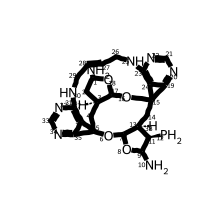 NC1C[C@@H]2CC34OC5OC(N)[C@H](P)[C@@H]5CC5(OC2O1)c1ncnc(c15)NC/C=C/CNc1ncnc3c14